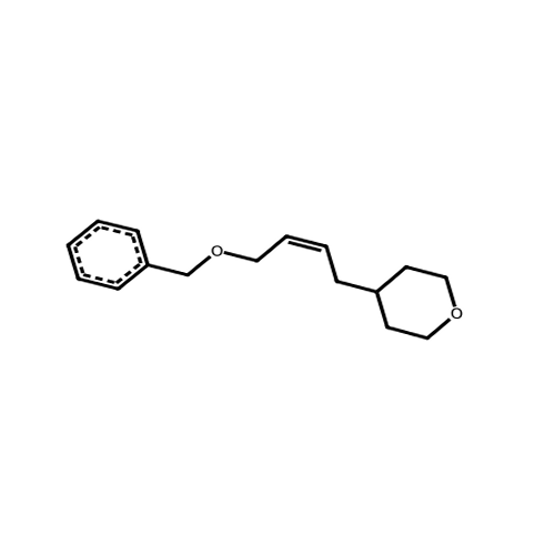 C(=C/CC1CCOCC1)/COCc1ccccc1